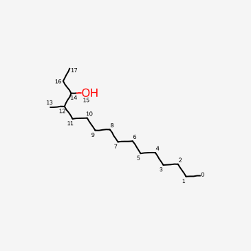 CCCCCCCCCCCCC(C)C(O)CC